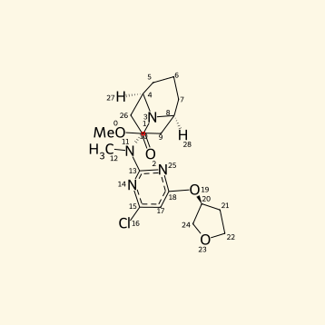 COC(=O)N1[C@@H]2CCC[C@H]1C[C@H](N(C)c1nc(Cl)cc(O[C@H]3CCOC3)n1)C2